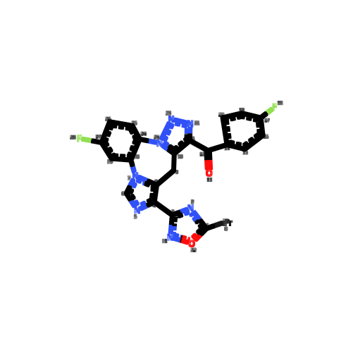 CC(C)c1nc(-c2ncn3c2Cc2c(C(=O)c4ccc(F)cc4)nnn2-c2ccc(F)cc2-3)no1